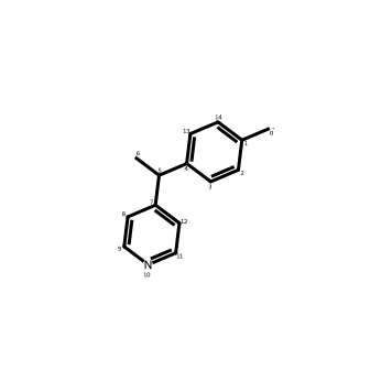 [CH2]c1ccc(C(C)c2ccncc2)cc1